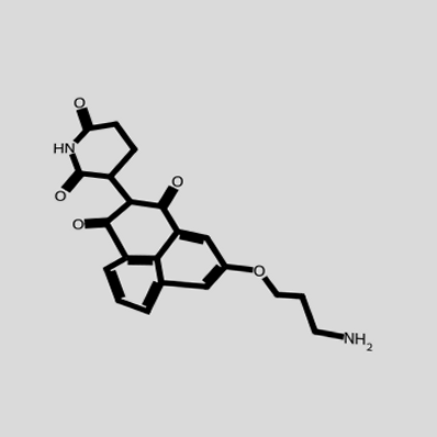 NCCCOc1cc2c3c(cccc3c1)C(=O)C(C1CCC(=O)NC1=O)C2=O